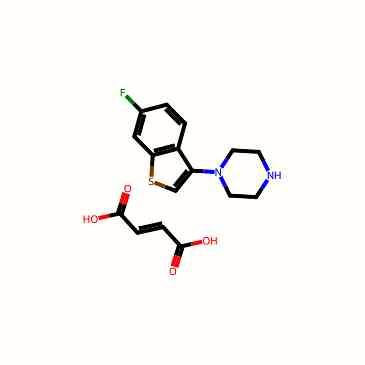 Fc1ccc2c(N3CCNCC3)csc2c1.O=C(O)C=CC(=O)O